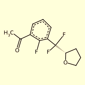 CC(=O)c1cccc(C(F)(F)[C@@H]2CCCO2)c1F